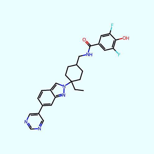 CCC1(n2cc3ccc(-c4cncnc4)cc3n2)CCC(CNC(=O)c2cc(F)c(O)c(F)c2)CC1